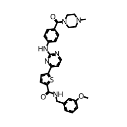 COc1cccc(CNC(=O)c2ccc(-c3ccnc(Nc4ccc(C(=O)N5CCN(C)CC5)cc4)n3)s2)c1